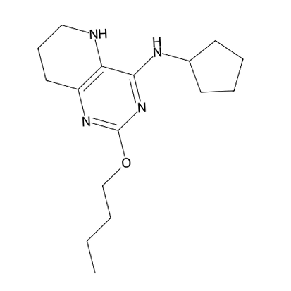 CCCCOc1nc2c(c(NC3CCCC3)n1)NCCC2